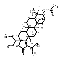 CC(=O)O[C@H]1CC[C@]2(C)[C@H]3CC[C@@H]4C5=C(C(C)C)C(=O)C[C@]5(C(C=O)CO)CC[C@@]4(C)[C@]3(C)CC[C@H]2C1(C)C